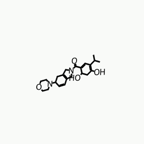 CC(C)C1=C(O)CC(O)C(C(=O)N2CC3=C(CC(N4CCOCC4)C=C3)C2)=C1